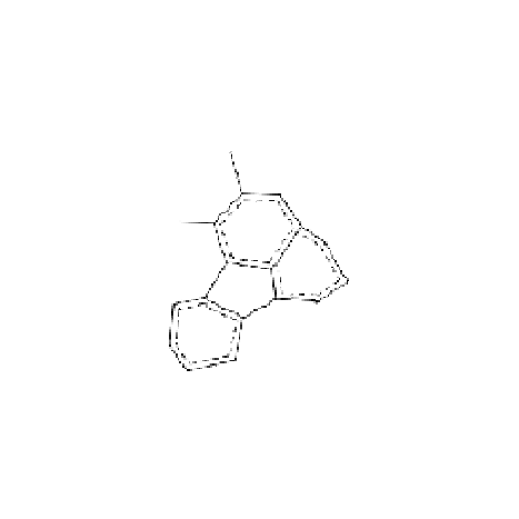 Cc1cc2cccc3c2c(c1C)-c1ccccc1-3